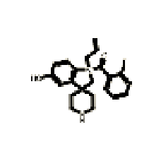 C=CC[N+]1(C(=O)c2ccccc2F)CC2(CCNCC2)c2cc(O)ccc21